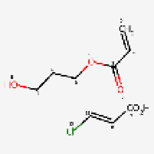 C=CC(=O)OCCCO.O=C(O)C=CCl